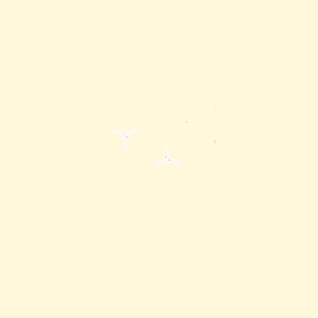 CC(C)(C)C1CN(C(=O)O)C[C@@H]2CCOc3c(Cl)cccc3N12